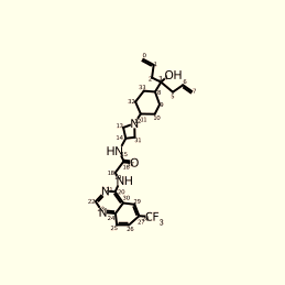 C=CCC(O)(CC=C)C1CCC(N2CC(NC(=O)CNc3ncnc4ccc(C(F)(F)F)cc34)C2)CC1